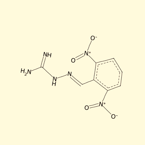 N=C(N)N/N=C/c1c([N+](=O)[O-])cccc1[N+](=O)[O-]